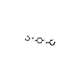 O=C(NC1CCC(NC(=O)[C@H]2CCOC2)CC1)c1cccnc1